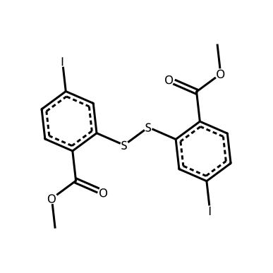 COC(=O)c1ccc(I)cc1SSc1cc(I)ccc1C(=O)OC